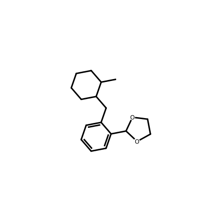 CC1CCCCC1Cc1ccccc1C1OCCO1